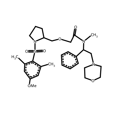 COc1cc(C)c(S(=O)(=O)N2CCCC2COCC(=O)N(C)C(CN2CCOCC2)c2ccccc2)c(C)c1